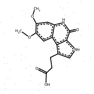 COc1cc2[nH]c(=O)c3[nH]cc(CCC(=O)O)c3c2cc1OC